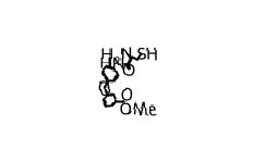 COC(=O)c1cccc(Oc2ccc(NC(=O)[C@@H](N)CS)cc2)c1